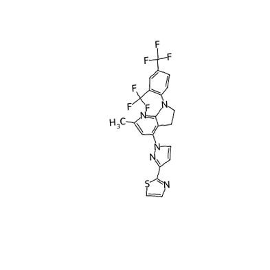 Cc1cc(-n2ccc(-c3nccs3)n2)c2c(n1)N(c1ccc(C(F)(F)F)cc1C(F)(F)F)CC2